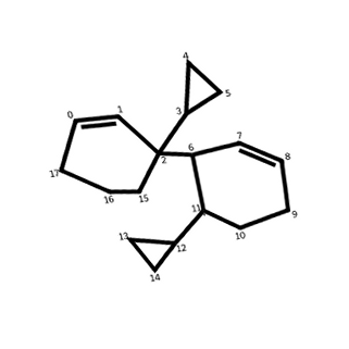 C1=CC(C2CC2)(C2C=CCC[C]2C2CC2)CCC1